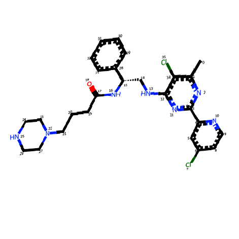 Cc1nc(-c2cc(Cl)ccn2)nc(NC[C@H](NC(=O)CCCN2CCNCC2)c2ccccc2)c1Cl